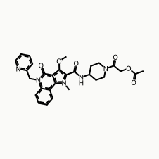 COc1c(C(=O)NC2CCN(C(=O)COC(C)=O)CC2)n(C)c2c1c(=O)n(Cc1ccccn1)c1ccccc21